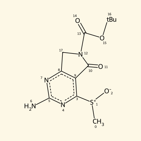 C[S+]([O-])c1nc(N)nc2c1C(=O)N(C(=O)OC(C)(C)C)C2